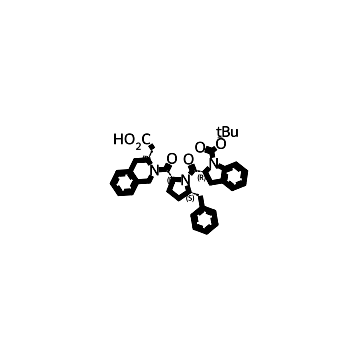 CC(C)(C)OC(=O)N1c2ccccc2C[C@@H]1C(=O)N1[C@H](Cc2ccccc2)CC[C@@H]1C(=O)N1Cc2ccccc2C[C@@H]1CC(=O)O